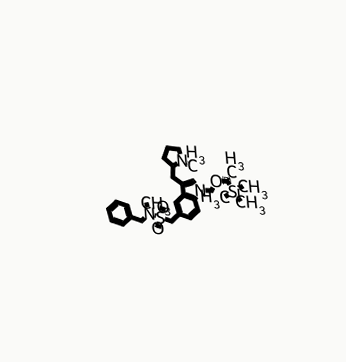 C[C@H](OCn1cc(CC2CCCN2C)c2cc(CS(=O)(=O)N(C)Cc3ccccc3)ccc21)[Si](C)(C)C